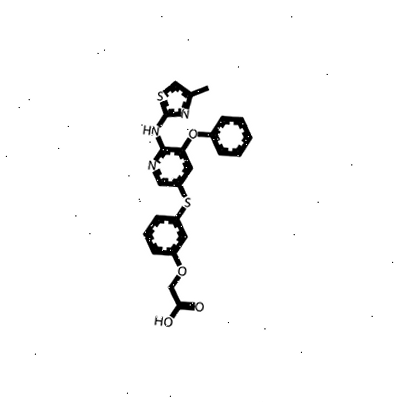 Cc1csc(Nc2ncc(Sc3cccc(OCC(=O)O)c3)cc2Oc2ccccc2)n1